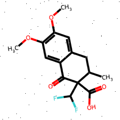 COc1cc2c(cc1OC)C(=O)C(C(=O)O)(C(F)F)C(C)C2